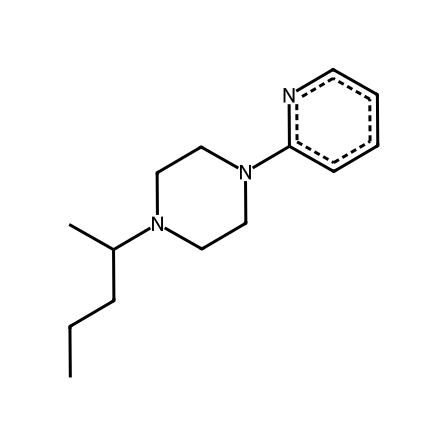 CCCC(C)N1CCN(c2ccccn2)CC1